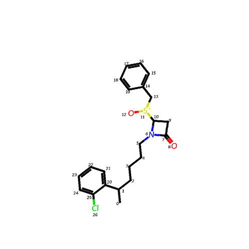 CC(CCCCN1C(=O)CC1[S+]([O-])Cc1ccccc1)c1ccccc1Cl